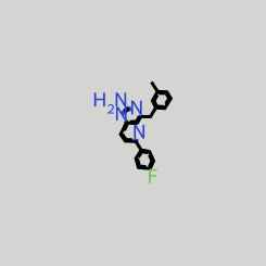 Cc1cccc(Cc2nc(N)nc3ccc(-c4ccc(F)cc4)nc23)c1